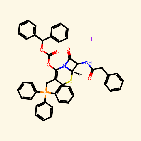 O=C(Cc1ccccc1)NC1C(=O)N2C(OC(=O)OC(c3ccccc3)c3ccccc3)=C(C[P+](c3ccccc3)(c3ccccc3)c3ccccc3)CS[C@@H]12.[I-]